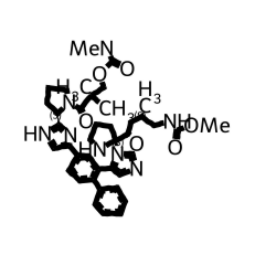 CNC(=O)OCC(C)(C)C(=O)N1CCC[C@H]1c1nc(-c2ccc(-c3ccccc3)c(-c3cncn3[C@]3(C(=O)C[C@H](C)CNC(=O)OC)CCCN3)c2)c[nH]1